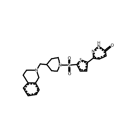 O=c1ccc(-c2ccc(S(=O)(=O)N3CCC(CN4CCc5ccccc5C4)CC3)s2)n[nH]1